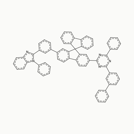 c1ccc(-c2cccc(-c3nc(-c4ccccc4)nc(-c4ccc5c(c4)C4(c6ccccc6-c6ccccc64)c4cc(-c6cccc(-c7nc8ccccc8n7-c7ccccc7)c6)ccc4-5)n3)c2)cc1